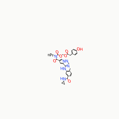 CCCN(C(=O)OCOC(=O)Cc1ccc(O)cc1)C(=O)c1cc2c(Nc3cc(C(=O)NC4CC4)ccc3C)ncnn2c1